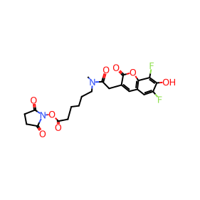 CN(CCCCCC(=O)ON1C(=O)CCC1=O)C(=O)Cc1cc2cc(F)c(O)c(F)c2oc1=O